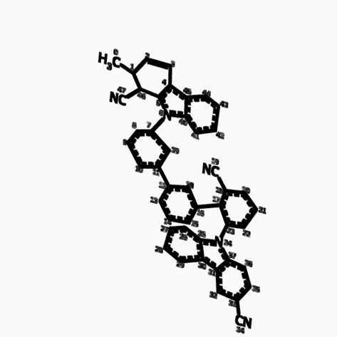 CC1C=Cc2c(n(-c3cccc(-c4cccc(-c5c(C#N)cccc5-n5c6ccccc6c6cc(C#N)ccc65)c4)c3)c3ccccc23)C1C#N